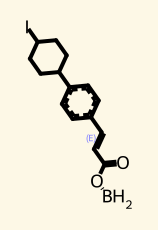 BOC(=O)/C=C/c1ccc(C2CCC(I)CC2)cc1